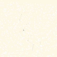 CC(O)COC(=O)OCC(C)O